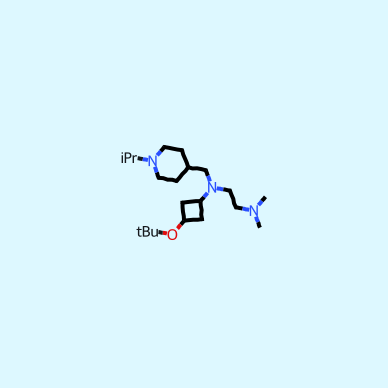 CC(C)N1CCC(CN(CCN(C)C)C2CC(OC(C)(C)C)C2)CC1